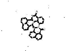 O=C1c2cccc3cccc(c23)C(=O)N1c1cccc2c(=O)nc3c4cccc5cccc(c(=O)n3c12)c54